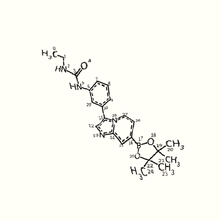 CCNC(=O)Nc1cccc(-c2cnc3cc(B4OC(C)(C)C(C)(C)O4)ccn23)c1